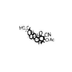 CC(=O)OC1=C(C#N)C(=O)[C@]2(C)[C@H]3CC=C4[C@@H]5C[C@](C)(C(=O)O)CC[C@]5(C)CC[C@@]4(C)[C@]3(C)CC[C@H]2C1(C)C